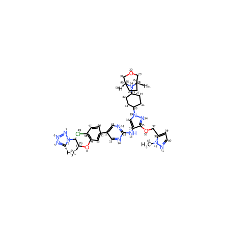 C[C@@H](Cn1cnnn1)Oc1cc(-c2cnc(Nc3cn(C4CCC(N5[C@@H]6CC[C@H]5COC6)CC4)nc3OCc3ccnn3C)nc2)ccc1Cl